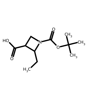 CCC1C(C(=O)O)CN1C(=O)OC(C)(C)C